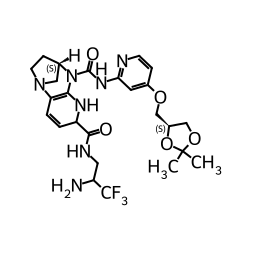 CC1(C)OC[C@H](COc2ccnc(NC(=O)N3C4=C(C=CC(C(=O)NCC(N)C(F)(F)F)N4)N4CC[C@H]3C4)c2)O1